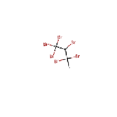 CC(Br)(Br)C(Br)C(Br)(Br)Br